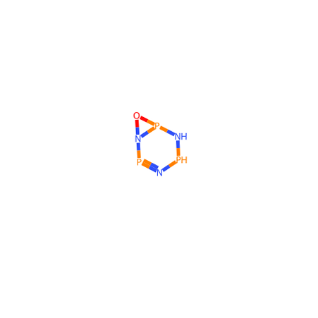 n1pn2op2[nH][pH]1